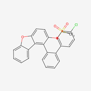 O=S(=O)(Oc1ccc2oc3ccccc3c2c1-c1ccccc1-c1ccc(Cl)cc1)C(F)(F)F